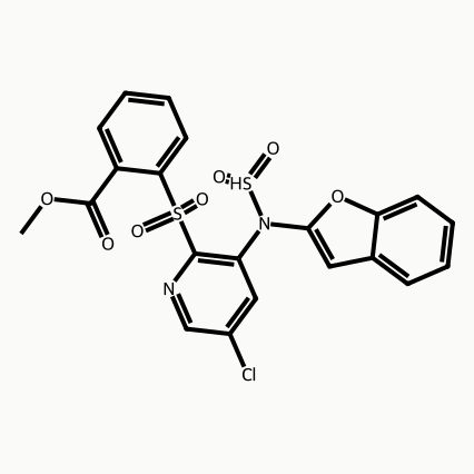 COC(=O)c1ccccc1S(=O)(=O)c1ncc(Cl)cc1N(c1cc2ccccc2o1)[SH](=O)=O